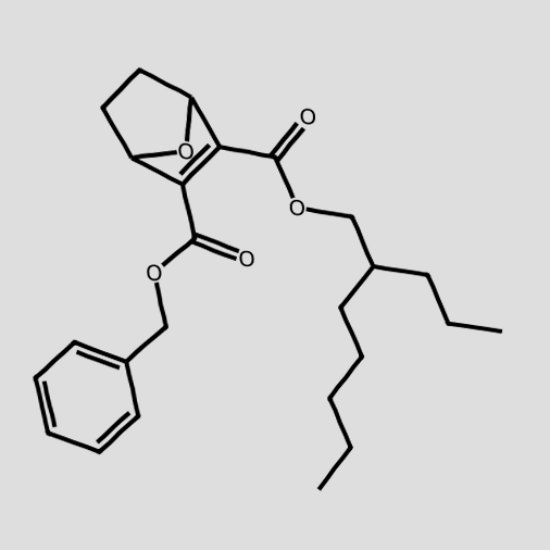 CCCCCC(CCC)COC(=O)C1=C(C(=O)OCc2ccccc2)C2CCC1O2